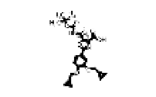 C[C@H](NC(=O)OC(C)(C)C)c1oc(-c2ccc(OCC3CC3)c(OCC3CC3)c2)nc1C(=O)O